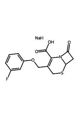 O=C(O)C1=C(COc2cccc(F)c2)CSC2CC(=O)N12.[NaH]